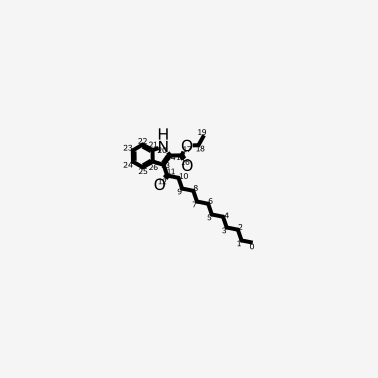 CCCCCCCCCCCC(=O)c1c(C(=O)OCC)[nH]c2ccccc12